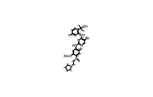 COc1cc(Nc2ncc(Br)c(Nc3cc(F)ccc3C(C)(C)O)n2)c(C)cc1N(C)CCN1CCCC1